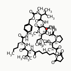 CCCC[C@H](NC(=O)[C@@H](NC(=O)CCCCCN1C(=O)CCC1=O)C(C)C)C(=O)Nc1ccc(COC(=O)N(C)C(C(=O)N[C@H](C(=O)N(C)[C@@H]([C@@H](C)CC)[C@@H](CC(=O)N2CCC[C@H]2[C@H](OC)[C@@H](C)C(C)=O)OC)C(C)C)C(C)C)cc1